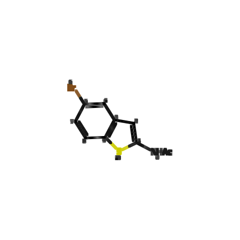 CC(=O)Nc1cc2cc(Br)ccc2s1